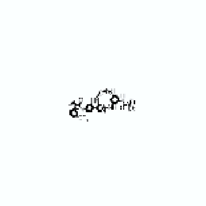 CCN(CC)C(=O)Nc1cc2cc(c1)SNCCCNc1nc(ncc1-c1ccc(NC(=O)C3(c4cccc(C(F)(F)F)c4)CC3)cc1)N2